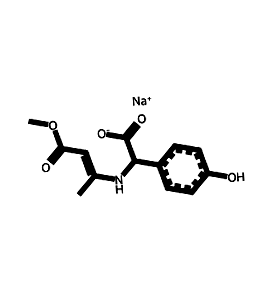 COC(=O)C=C(C)NC(C(=O)[O-])c1ccc(O)cc1.[Na+]